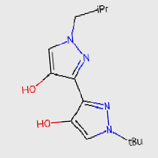 CC(C)Cn1cc(O)c(-c2nn(C(C)(C)C)cc2O)n1